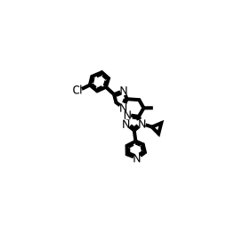 CC(CC1=NCC(c2cccc(Cl)c2)=N1)c1nnc(-c2ccncc2)n1C1CC1